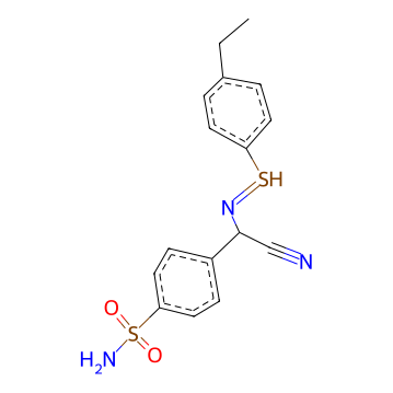 CCc1ccc([SH]=NC(C#N)c2ccc(S(N)(=O)=O)cc2)cc1